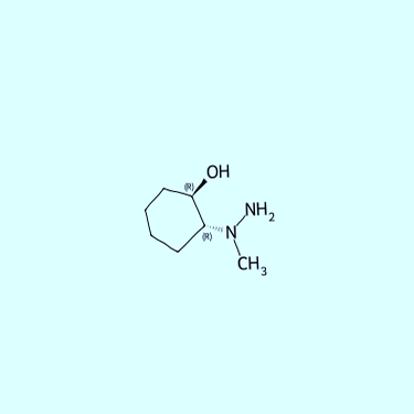 CN(N)[C@@H]1CCCC[C@H]1O